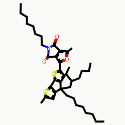 CCCCCCCCN1C(=O)c2c(C)oc(-c3cc4c(s3)-c3sc(C)cc3C4(CCCCCCCC)CC(CC)CCCC)c2C1=O